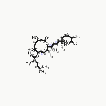 CCC(O)C(C)C1OC1CC(C)(O)/C=C/C=C(\C)C1OC(=O)CC(O)CCC(C)(O)C(OC(=O)N(C)CCN(C)C)/C=C/C1C